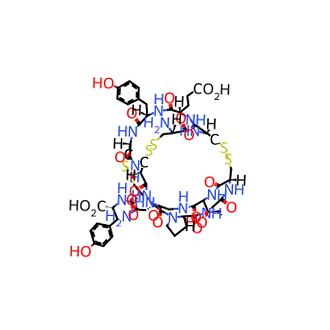 C[C@@H]1NC(=O)[C@@H]2CCCN2C(=O)[C@H](CC(N)=O)NC(=O)[C@@H]2CSSC[C@H](N)C(=O)N[C@H]3CSSC[C@H](NC1=O)C(=O)NC([C@@H](C)O)C(=O)NCC(=O)N[C@H](C(=O)N[C@H](Cc1ccc(O)cc1)C(=O)O)CSSC[C@H](NC(=O)[C@H](Cc1ccc(O)cc1)NC(=O)[C@H](CCC(=O)O)NC3=O)C(=O)N2